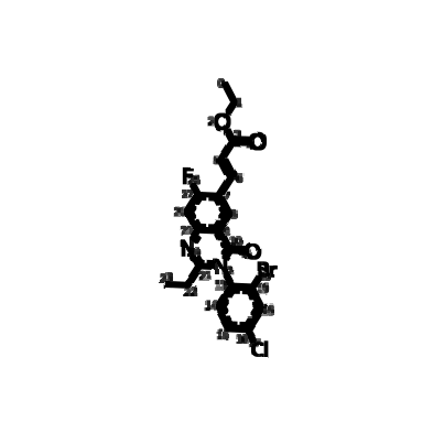 CCOC(=O)/C=C/c1cc2c(=O)n(-c3ccc(Cl)cc3Br)c(CC)nc2cc1F